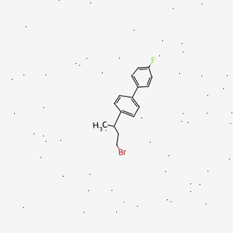 CC(CCBr)c1ccc(-c2ccc(F)cc2)cc1